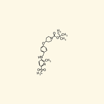 Cc1nc(S(C)(=O)=O)ccc1NCc1ccc(OC2CCN(C(=O)OC(C)(C)C)CC2)cc1